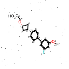 CC(C)Oc1cc(F)cc(-c2ccc([C@H]3C[C@@H](OCC(=O)O)C3)cc2)c1